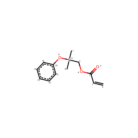 C=CC(=O)OC[Si](C)(C)Oc1ccccc1